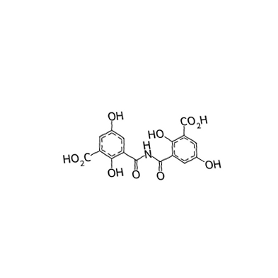 O=C(O)c1cc(O)cc(C(=O)NC(=O)c2cc(O)cc(C(=O)O)c2O)c1O